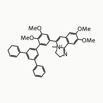 COc1cc2c(cc1OC)C1=NCC[N+]1(C)C(c1cc(OC)c(OC)c(-c3cc(C4=CCCC=C4)cc(-c4ccccc4)c3)c1)=C2